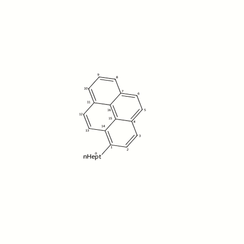 CCCCCCCc1ccc2ccc3cccc4ccc1c2c34